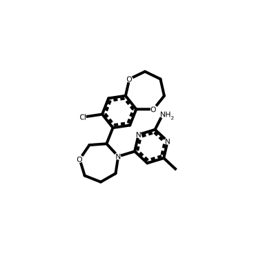 Cc1cc(N2CCCOCC2c2cc3c(cc2Cl)OCCCO3)nc(N)n1